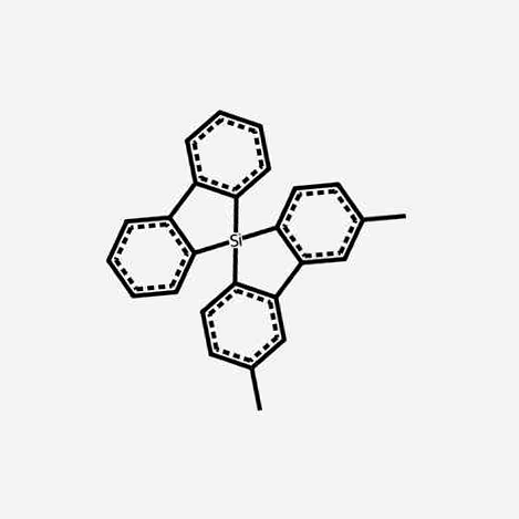 Cc1ccc2c(c1)-c1cc(C)ccc1[Si]21c2ccccc2-c2ccccc21